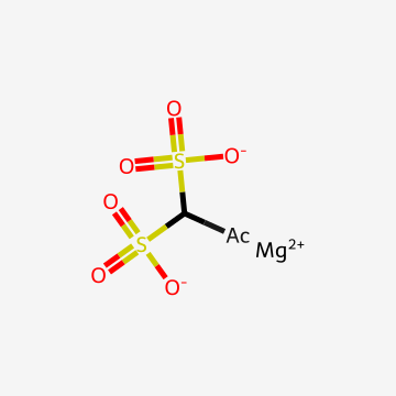 CC(=O)C(S(=O)(=O)[O-])S(=O)(=O)[O-].[Mg+2]